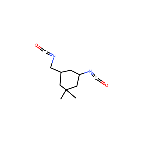 CC1(C)CC(CN=C=O)CC(N=C=O)C1